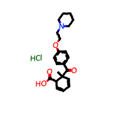 CC1(C(=O)c2ccc(OCCN3CCCCC3)cc2)C=CC=CC1C(=O)O.Cl